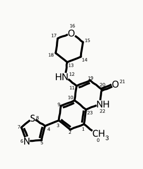 Cc1cc(-c2cncs2)cc2c(NC3CCOCC3)cc(=O)[nH]c12